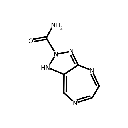 NC(=O)N1N=C2N=CC=NC=C2N1